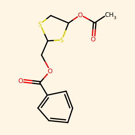 CC(=O)OC1CSC(COC(=O)c2ccccc2)S1